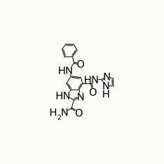 NC(=O)c1nc2c(C(=O)Nc3ncc[nH]3)cc(NC(=O)c3ccccc3)cc2[nH]1